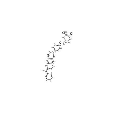 CC[C@@H](c1ccccc1)N1CCc2cc3c(cc2C1)OCC(c1ccc(OCc2ccc(Cl)c(Cl)c2)cc1)O3